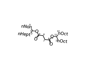 CCCCCCCCCC(CCCCCCC)OC(=O)CCC(=O)OC(CCCCCCCC)CCCCCCCC